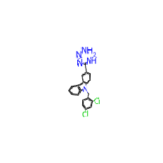 N=C(/N=N\N)c1ccc2c(c1)c1ccccc1n2Cc1ccc(Cl)cc1Cl